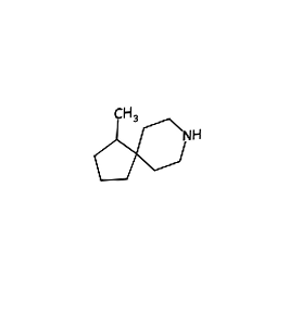 CC1CCCC12CCNCC2